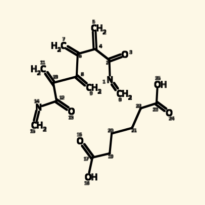 C=NC(=O)C(=C)C(=C)C(=C)C(=C)C(=O)N=C.O=C(O)CCCCC(=O)O